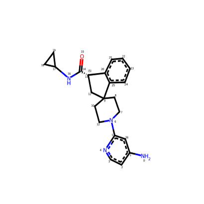 Nc1ccnc(N2CCC3(CC2)C[C@H](C(=O)NC2CC2)c2ccccc23)c1